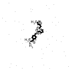 Cc1cc(CC(=O)N2CCCC2C(=O)NCc2ccc(C(=O)C(C)C)cc2)on1